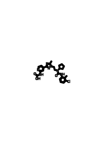 Cc1c(Cl)cccc1NC(=O)N(CCn1nc(-c2ccnc(NC(=O)O)c2)nc1C)C1CCCC1